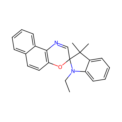 CCN1c2ccccc2C(C)(C)C12C=Nc1c(ccc3ccccc13)O2